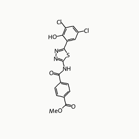 COC(=O)c1ccc(C(=O)Nc2nnc(-c3cc(Cl)cc(Cl)c3O)s2)cc1